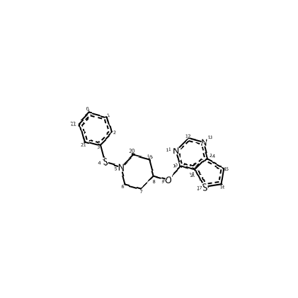 c1ccc(SN2CCC(Oc3ncnc4ccsc34)CC2)cc1